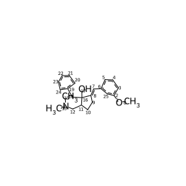 COc1cccc(C=C2CCC(CN(C)C)C2(O)Cc2ccccc2)c1